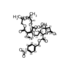 CC(C)COC(=O)c1nnn(C[C@@]2(C)[C@H](C(=O)OCc3ccc([N+](=O)[O-])cc3)N3C(=O)C[C@H]3S2(=O)=O)c1C(=O)OCC(C)C